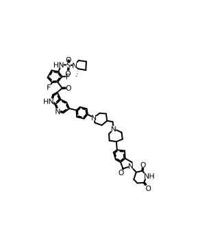 C[C@H]1CCCN1S(=O)(=O)Nc1ccc(F)c(C(=O)c2c[nH]c3ncc(-c4ccc(N5CCC(CN6CCC(c7ccc8c(c7)CN(C7CCC(=O)NC7=O)C8=O)CC6)CC5)cc4)cc23)c1F